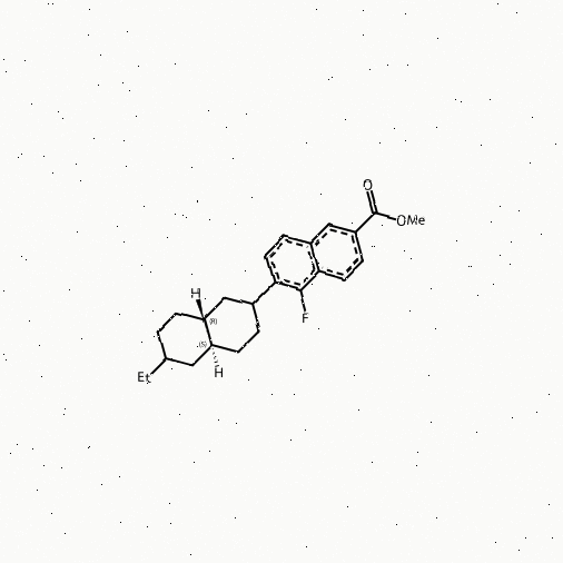 CCC1CC[C@@H]2CC(c3ccc4cc(C(=O)OC)ccc4c3F)CC[C@H]2C1